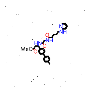 COC(=O)CC(NC(=O)CNC(=O)CCCCNc1ccccn1)c1ccc(-c2ccc(C)cc2)cc1